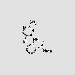 CNC(=O)c1ccccc1Nc1nc(N)ncc1Br